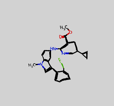 COC(=O)c1cc(C2CC2)cnc1Nc1ccc2c(c1)c(-c1ccccc1F)cn2C